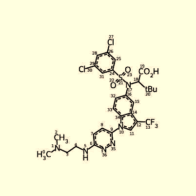 CN(C)CCNc1ccc(-n2cc(C(F)(F)F)c3cc(N(C(C(=O)O)C(C)(C)C)S(=O)(=O)c4cc(Cl)cc(Cl)c4)ccc32)nn1